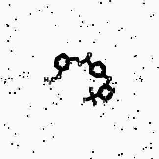 COc1cccc(COC(=O)c2ccc(Oc3cc(C(F)(F)F)ncn3)cc2)c1